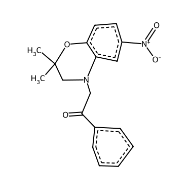 CC1(C)CN(CC(=O)c2ccccc2)c2cc([N+](=O)[O-])ccc2O1